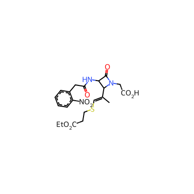 CCOC(=O)CCSC=C(C)C1C(NC(=O)Cc2ccccc2[N+](=O)[O-])C(=O)N1CC(=O)O